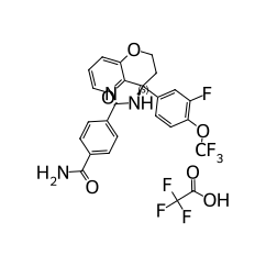 NC(=O)c1ccc(C(=O)N[C@]2(c3ccc(OC(F)(F)F)c(F)c3)CCOc3cccnc32)cc1.O=C(O)C(F)(F)F